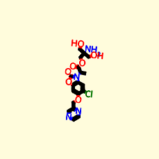 CC(C(=O)OCC(N)(CO)CO)n1c(=O)oc2cc(OCc3cnccn3)c(Cl)cc21